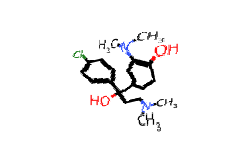 CN(C)CCC(O)(c1ccc(Cl)cc1)c1ccc(O)c(N(C)C)c1